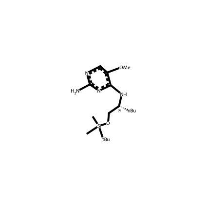 CCCC[C@H](CO[Si](C)(C)C(C)(C)C)Nc1nc(N)ncc1OC